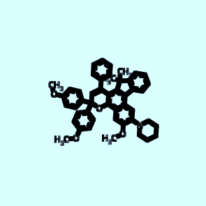 COc1ccc(C2(c3ccc(OC)cc3)C=C(c3ccccc3)c3c4c(c5cc(N6CCCCC6)c(OC)cc5c3O2)-c2ccccc2C4(C)C)cc1